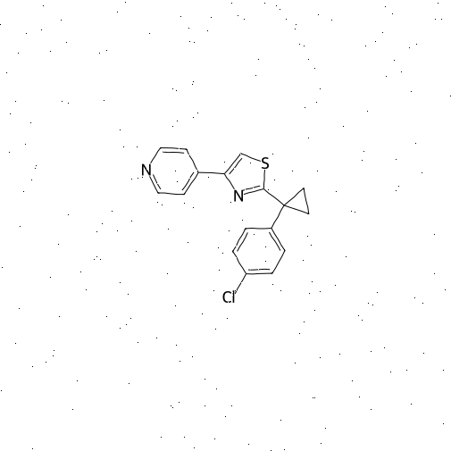 Clc1ccc(C2(c3nc(-c4ccncc4)cs3)CC2)cc1